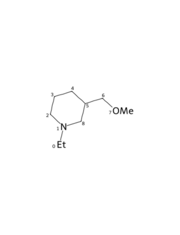 [CH2]CN1CCCC(COC)C1